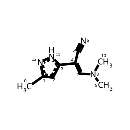 Cc1cc(C(C#N)=CN(C)C)[nH]n1